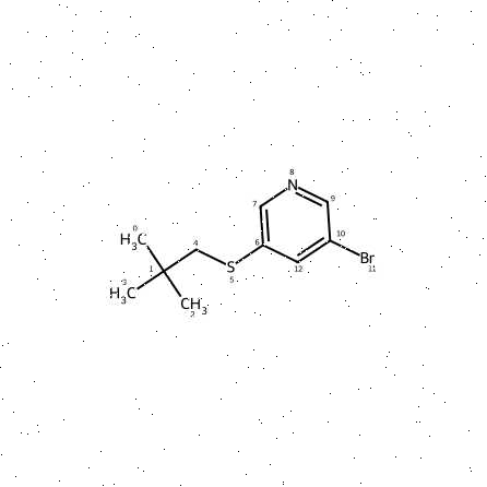 CC(C)(C)CSc1cncc(Br)c1